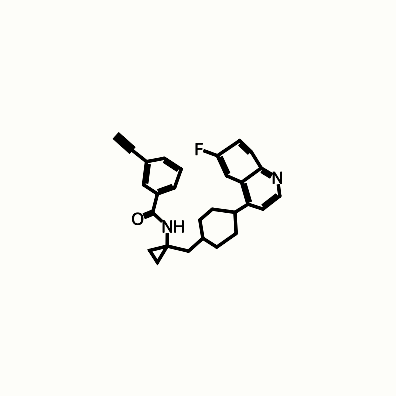 C#Cc1cccc(C(=O)NC2(CC3CCC(c4ccnc5ccc(F)cc45)CC3)CC2)c1